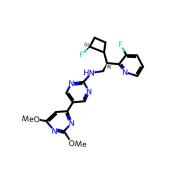 COc1cc(-c2cnc(NC[C@H](c3ncccc3F)C3CC[C@@H]3F)nc2)nc(OC)n1